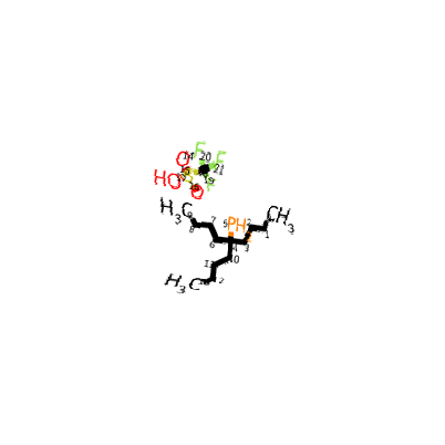 CCCCC(P)(CCCC)CCCC.O=S(=O)(O)C(F)(F)F